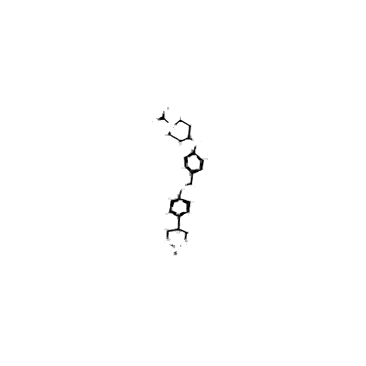 O=C(O)N1CCC(Oc2ccc(COc3ccc(C4COS(=O)OC4)cc3)cc2)CC1